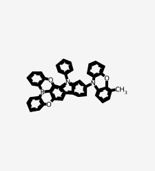 Cc1cccc2c1Oc1ccccc1N2c1ccc2c3cc4c5c(c3n(-c3ccccc3)c2c1)Oc1ccccc1B5c1ccccc1O4